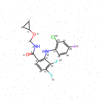 O=C(NCOC1CC1)c1ccc(F)c(F)c1Nc1ccc(I)cc1Cl